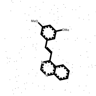 COc1cc(/C=C/c2ncnc3ccccc23)cc(OC)c1